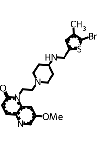 COc1cnc2ccc(=O)n(CCN3CCC(NCc4cc(C)c(Br)s4)CC3)c2c1